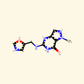 Cn1ncc2nc(NCc3cnco3)[nH]c(=O)c21